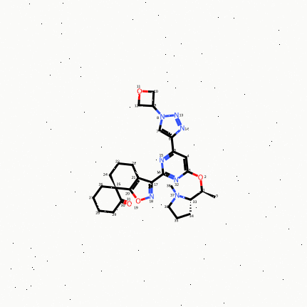 C[C@H](Oc1cc(-c2cn(C3COC3)nn2)nc(-c2noc3c2CCC[C@@]32CCCCC2=O)n1)[C@@H]1CCCN1C